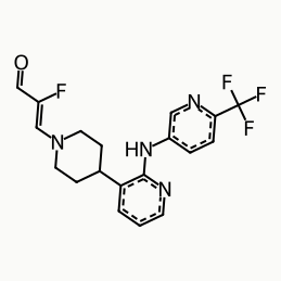 O=CC(F)=CN1CCC(c2cccnc2Nc2ccc(C(F)(F)F)nc2)CC1